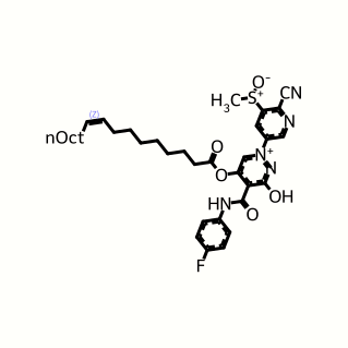 CCCCCCCC/C=C\CCCCCCCC(=O)Oc1c[n+](-c2cnc(C#N)c([S+](C)[O-])c2)nc(O)c1C(=O)Nc1ccc(F)cc1